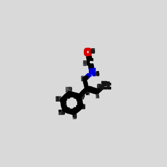 CCC=C(CN=C=O)c1ccccc1